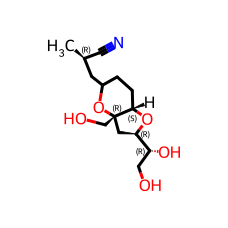 C[C@@H](C#N)CC1CC[C@@H]2O[C@@H]([C@H](O)CO)C[C@]2(CO)O1